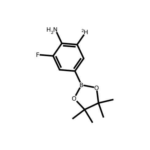 [2H]c1cc(B2OC(C)(C)C(C)(C)O2)cc(F)c1N